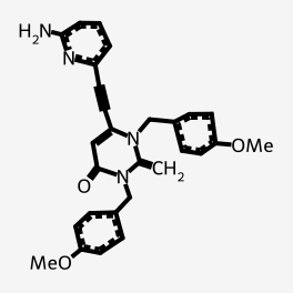 C=C1N(Cc2ccc(OC)cc2)C(=O)C=C(C#Cc2cccc(N)n2)N1Cc1ccc(OC)cc1